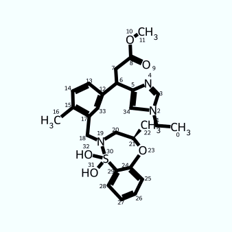 CCn1cnc(C(CC(=O)OC)c2ccc(C)c(CN3C[C@@H](C)Oc4ccccc4S3(O)O)c2)c1